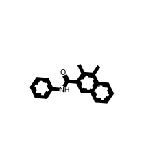 Cc1c(C(=O)Nc2ccccc2)cc2ccccc2c1C